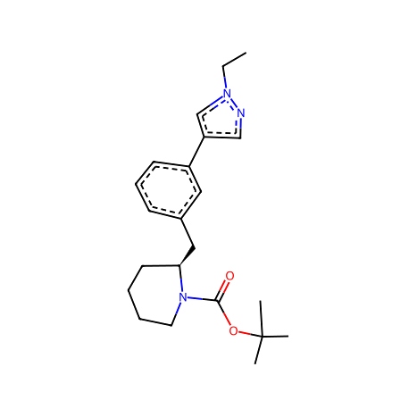 CCn1cc(-c2cccc(C[C@@H]3CCCCN3C(=O)OC(C)(C)C)c2)cn1